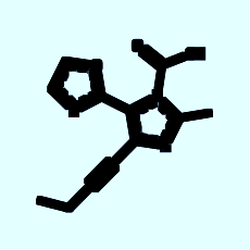 CCC#Cc1nc(C)n(C(=O)O)c1-c1ncco1